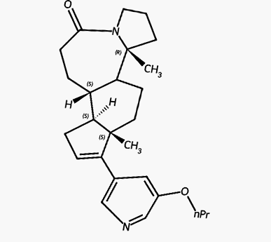 CCCOc1cncc(C2=CC[C@H]3[C@@H]4CCC(=O)N5CCC[C@]5(C)C4CC[C@]23C)c1